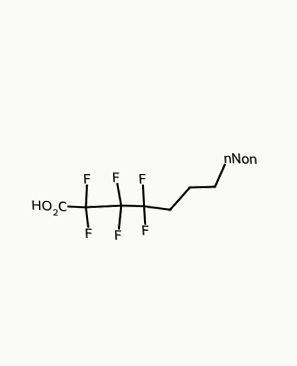 CCCCCCCCCCCCC(F)(F)C(F)(F)C(F)(F)C(=O)O